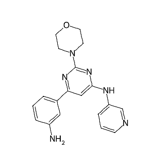 Nc1cccc(-c2cc(Nc3cccnc3)nc(N3CCOCC3)n2)c1